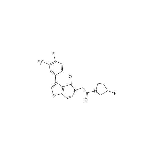 O=C(Cn1ccc2scc(-c3ccc(F)c(C(F)(F)F)c3)c2c1=O)N1CCC(F)C1